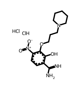 Cl.Cl.N=C(N)c1ccc([N+](=O)[O-])c(OCCCN2CCCCC2)c1O